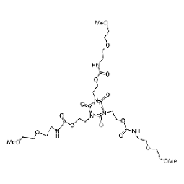 COCCOCCNC(=O)OCCn1c(=O)n(CCOC(=O)NCCOCCOC)c(=O)n(CCOC(=O)NCCOCCOC)c1=O